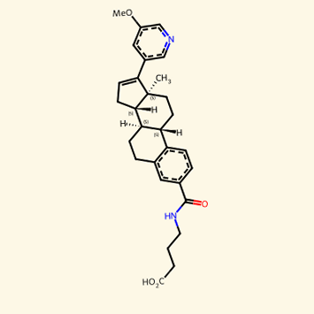 COc1cncc(C2=CC[C@H]3[C@@H]4CCc5cc(C(=O)NCCCC(=O)O)ccc5[C@H]4CC[C@]23C)c1